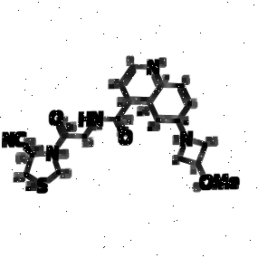 COC1CN(c2ccc3nccc(C(=O)NCC(=O)N4CSC[C@H]4C#N)c3c2)C1